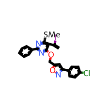 C=C(I)c1c(OCc2cc(-c3ccc(Cl)cc3)no2)nc(-c2ccccc2)nc1SC